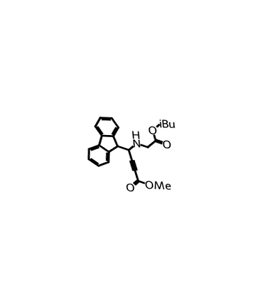 CCC(C)OC(=O)CNC(C#CC(=O)OC)C1c2ccccc2-c2ccccc21